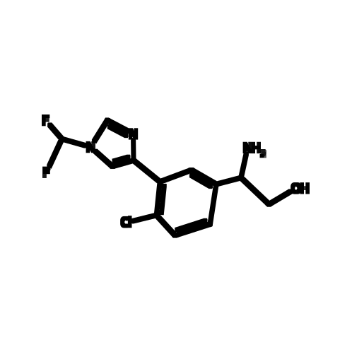 NC(CO)c1ccc(Cl)c(-c2cn(C(F)F)cn2)c1